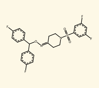 O=S(=O)(c1cc(F)cc(F)c1)N1CCC(=NOC(c2ccc(F)cc2)c2ccc(F)cc2)CC1